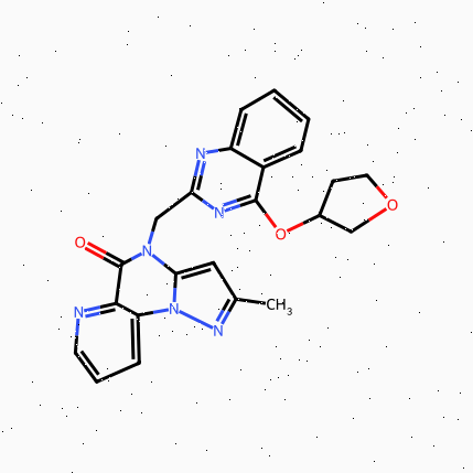 Cc1cc2n(Cc3nc(OC4CCOC4)c4ccccc4n3)c(=O)c3ncccc3n2n1